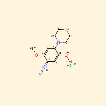 CCOC1=CC(N2CCOCC2)C(OCC)=CC1=[N+]=[N-].Cl